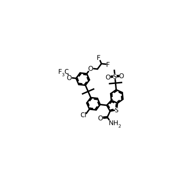 CC(C)(c1cc(OCC(F)F)cc(OC(F)(F)F)c1)c1cc(Cl)cc(-c2c(C(N)=O)sc3ccc(C(C)(C)S(C)(=O)=O)cc23)c1